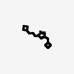 c1c(CC2CCC2)nnn1CCCC1CCC1